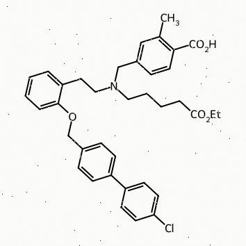 CCOC(=O)CCCCN(CCc1ccccc1OCc1ccc(-c2ccc(Cl)cc2)cc1)Cc1ccc(C(=O)O)c(C)c1